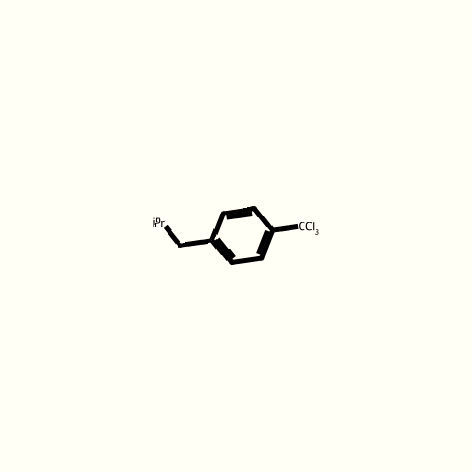 CC(C)Cc1ccc(C(Cl)(Cl)Cl)cc1